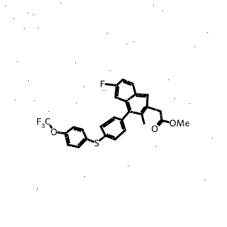 COC(=O)Cc1cc2ccc(F)cc2c(-c2ccc(Sc3ccc(OC(F)(F)F)cc3)cc2)c1C